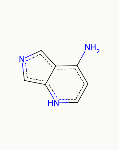 Nc1cc[nH]c2cncc1-2